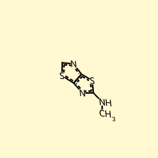 CNc1nc2scnc2s1